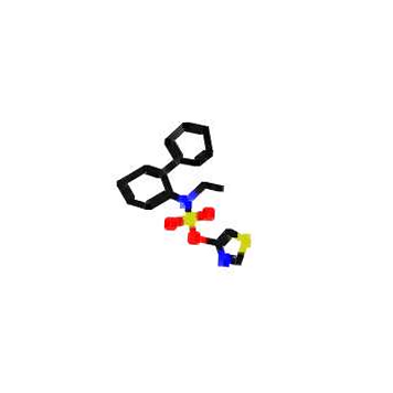 CCN(c1ccccc1-c1ccccc1)S(=O)(=O)Oc1cscn1